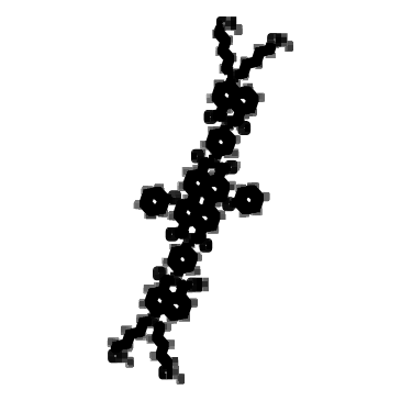 CCCCCCN(CCCCCC)c1ccc2c3c(cccc13)C(=O)N(c1ccc(N3C(=O)c4ccc5c6c(Oc7ccccc7)cc7c8c(ccc(c9c(Oc%10ccccc%10)cc(c4c59)C3=O)c86)C(=O)N(c3ccc(N4C(=O)c5ccc(N(CCCCCC)CCCCCC)c6cccc(c56)C4O)cc3)C7=O)cc1)C2=O